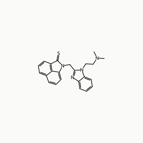 CN(C)CCn1c(CN2C(=S)c3cccc4cccc2c34)nc2ccccc21